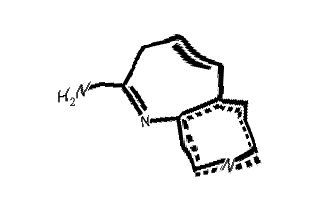 NC1=Nc2cnccc2C=CC1